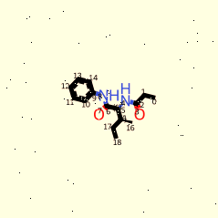 CCC(=O)N[C@H](C(=O)Nc1ccccc1)[C@@H](C)CC